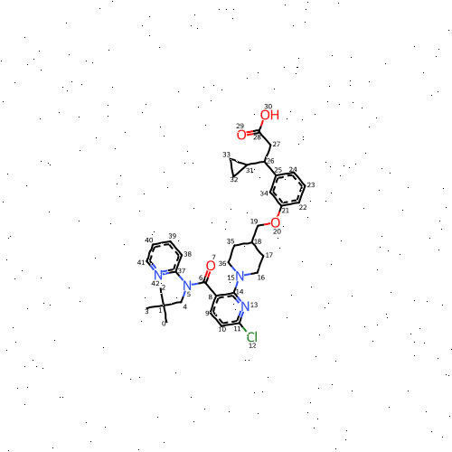 CC(C)(C)CN(C(=O)c1ccc(Cl)nc1N1CCC(COc2cccc(C(CC(=O)O)C3CC3)c2)CC1)c1ccccn1